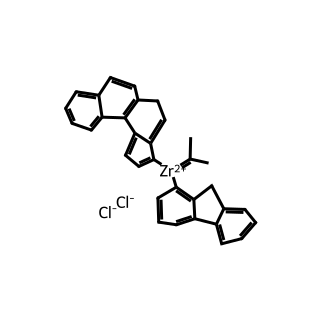 C[C](C)=[Zr+2]([C]1=CC=C2C1=CCc1ccc3ccccc3c12)[c]1cccc2c1Cc1ccccc1-2.[Cl-].[Cl-]